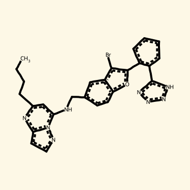 CCCCc1cc(NCc2ccc3oc(-c4ccccc4-c4nnn[nH]4)c(Br)c3c2)n2nccc2n1